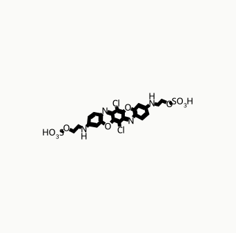 O=S(=O)(O)OCCNc1ccc2c(c1)Oc1c(Cl)c3c(c(Cl)c1=N2)Oc1cc(NCCOS(=O)(=O)O)ccc1N=3